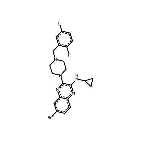 Fc1ccc(F)c(CN2CCN(c3nc4cc(Br)ccc4nc3NC3CC3)CC2)c1